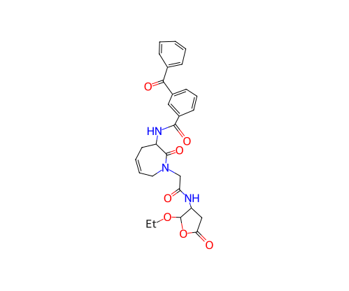 CCOC1OC(=O)CC1NC(=O)CN1CC=CCC(NC(=O)c2cccc(C(=O)c3ccccc3)c2)C1=O